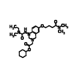 CCN(C)C(=O)NN1CN(CC(=O)OC2CCCCC2)Cc2cc(OCCCC(=O)N(C)C)ccc21